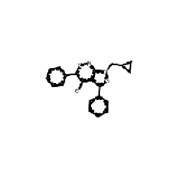 Clc1c(-c2ccccc2)nnc2c1c(-c1ccccc1)nn2CC1CC1